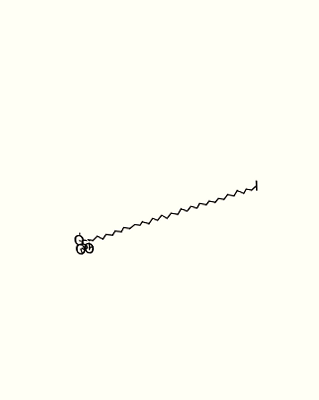 CO[Si](CCCCCCCCCCCCCCCCCCCCCCCCCCCCCCCCCCCCI)(OC)OC